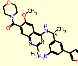 COc1cc2c(N[C@H](C)c3cc(N)cc(-c4ccoc4)c3)nc(C)nc2cc1C(=O)N1CCOCC1